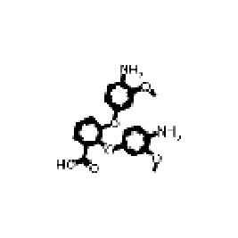 COc1cc(Oc2cccc(C(=O)O)c2Oc2ccc(N)c(OC)c2)ccc1N